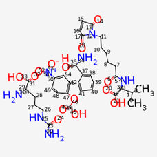 CC(C)[C@H](NC(=O)CCCCCN1C(=O)C=CC1=O)C(=O)O.NC(=O)NCCC[C@H](N)C(=O)O.NC(O)c1ccccc1.O=C(O)Oc1ccc([N+](=O)[O-])cc1